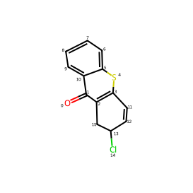 O=c1c2c(sc3ccccc13)C=CC(Cl)C2